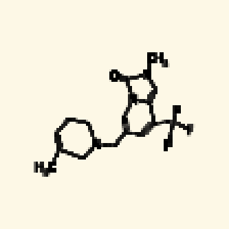 CC1=CCCN(Cc2cc(C(F)(F)F)c3cn(C)c(=O)n3c2)C1